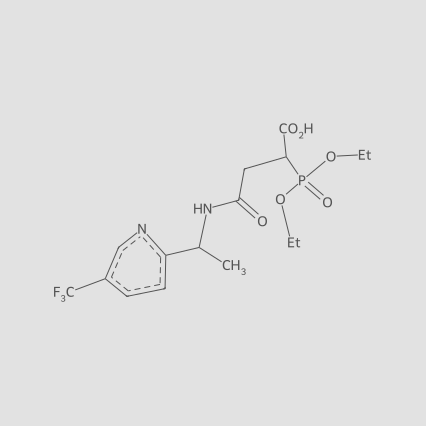 CCOP(=O)(OCC)C(CC(=O)NC(C)c1ccc(C(F)(F)F)cn1)C(=O)O